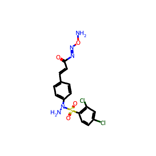 NON=NC(=O)/C=C/c1ccc(N(N)S(=O)(=O)c2ccc(Cl)cc2Cl)cc1